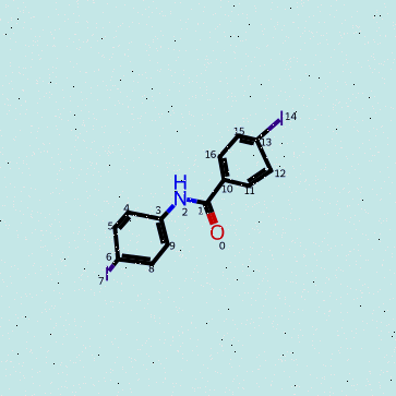 O=C(Nc1ccc(I)cc1)c1ccc(I)cc1